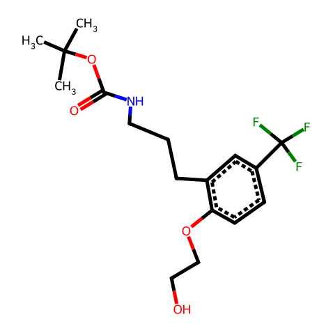 CC(C)(C)OC(=O)NCCCc1cc(C(F)(F)F)ccc1OCCO